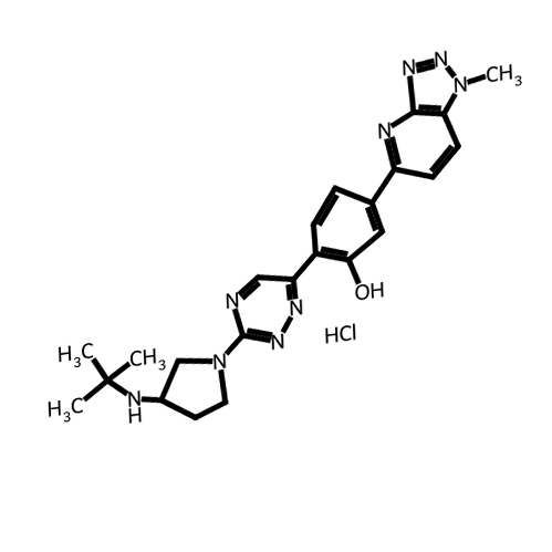 Cl.Cn1nnc2nc(-c3ccc(-c4cnc(N5CCC(NC(C)(C)C)C5)nn4)c(O)c3)ccc21